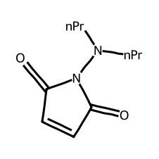 CCCN(CCC)N1C(=O)C=CC1=O